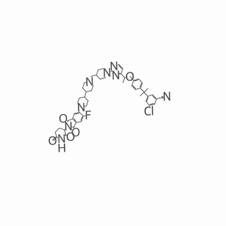 CC(Oc1ccc(C(C)(C)c2cc(Cl)cc(C#N)c2)cc1)c1ccnc(N2CCC(CN3CCC(C4CCN(c5cc6c(cc5F)C(=O)N(C5CCC(=O)NC5=O)C6=O)CC4)CC3)CC2)n1